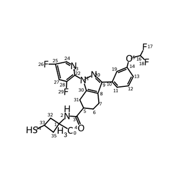 CC1(NC(=O)C2CCc3c(-c4cccc(OC(F)F)c4)nn(-c4ncc(F)cc4F)c3C2)CC(S)C1